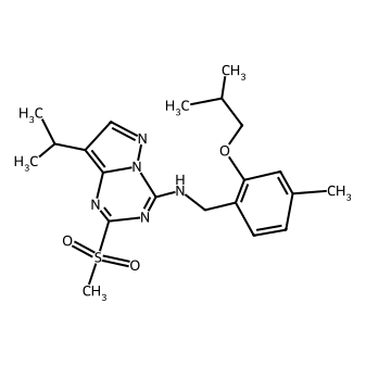 Cc1ccc(CNc2nc(S(C)(=O)=O)nc3c(C(C)C)cnn23)c(OCC(C)C)c1